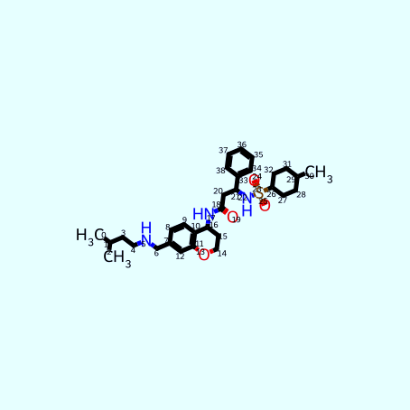 CC(C)CCNCc1ccc2c(c1)OCCC2NC(=O)CC(NS(=O)(=O)C1CCC(C)CC1)c1ccccc1